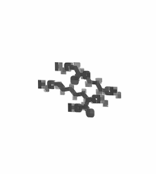 C=C(CCCC=CC)C(=O)O.C=CC(=O)OCCCC